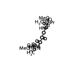 COC(=O)N[C@H](C(=O)N1C[C@@H](C)C[C@H]1c1ncc(-c2ccc(-c3ccc(-c4ccc(-c5cnc([C@@H]6C[C@H](C)CN6C(=O)[C@@H](NC(=O)OC)C(C)C)[nH]5)c5c4C4CCC5C4)c4c3C3CCC4C3)cc2)[nH]1)C(C)C